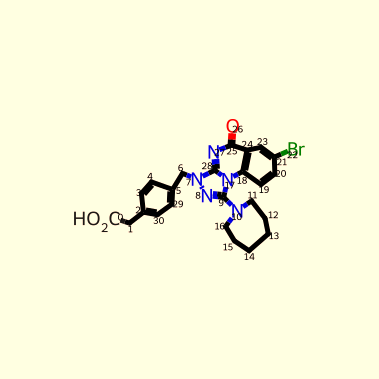 O=C(O)Cc1ccc(Cn2nc(N3CCCCCC3)n3c4ccc(Br)cc4c(=O)nc23)cc1